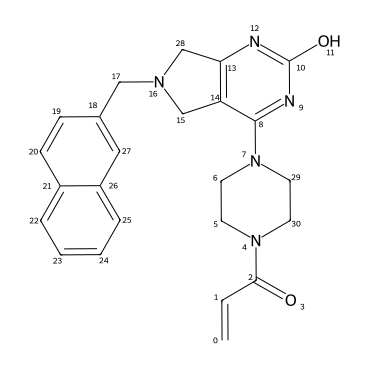 C=CC(=O)N1CCN(c2nc(O)nc3c2CN(Cc2ccc4ccccc4c2)C3)CC1